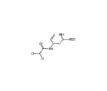 C#CC1C=C(NC(=O)C(Cl)Cl)C=CN1